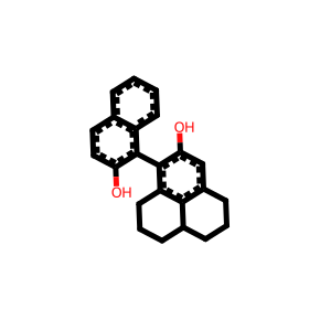 Oc1cc2c3c(c1-c1c(O)ccc4ccccc14)CCCC3CCC2